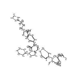 CC(C)(C)C(F)[C@@H](OC(N)=O)[C@H]1CC[C@H](C(=O)N2CC[C@@H](C3CCCCC3)[C@H]2C(=O)Nc2ccc3[nH]c(C(=O)NS(=O)(=O)N4CCCC4)cc3c2)CC1